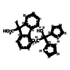 CC1(C(=O)O)c2ccccc2-c2ccccc21.O=C(O)C(O)(c1cccs1)c1cccs1